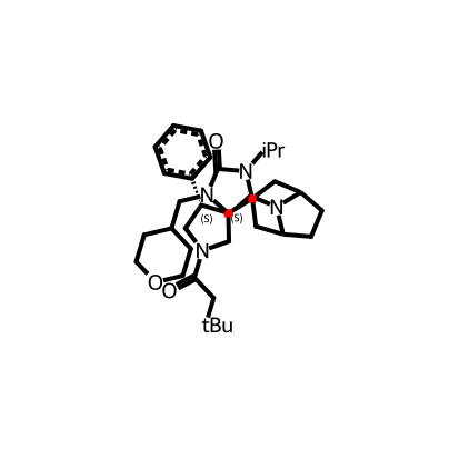 CC(C)N1C(=O)N(CC2CCOCC2)CC12CC1CCC(C2)N1C[C@H]1CN(C(=O)CC(C)(C)C)C[C@@H]1c1ccccc1